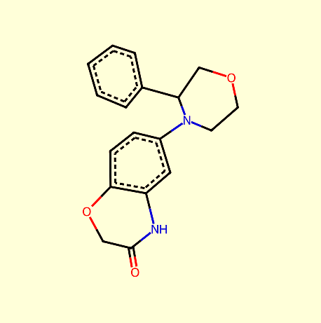 O=C1COc2ccc(N3CCOCC3c3ccccc3)cc2N1